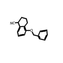 N#CC1CCCc2c(OCc3ccccc3)cccc21